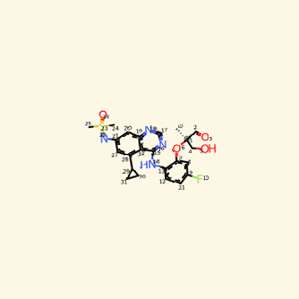 C[C@](C=O)(CO)Oc1cc(F)ccc1Nc1ncnc2cc(N=S(C)(C)=O)cc(C3CC3)c12